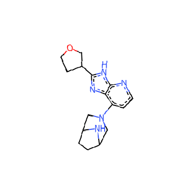 c1cc(N2CC3CCC(C2)N3)c2nc(C3CCOC3)[nH]c2n1